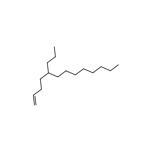 C=CCCC(CCC)CCCCCCCC